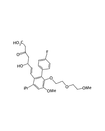 COCCOCCOc1c(OC)cc(C(C)C)c(C=CC(O)CC(=O)CC(=O)O)c1-c1ccc(F)cc1